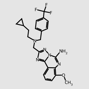 COc1cccc2c1nc(N)n1nc(CN(CCC3CC3)Cc3ccc(C(F)(F)F)cc3)nc21